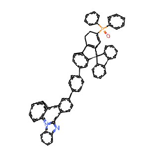 O=P(C1=CC2=C(CC1)c1ccc(-c3ccc(-c4ccc5c(c4)c4ccccc4n4c6ccccc6nc54)cc3)cc1C21c2ccccc2-c2ccccc21)(c1ccccc1)c1ccccc1